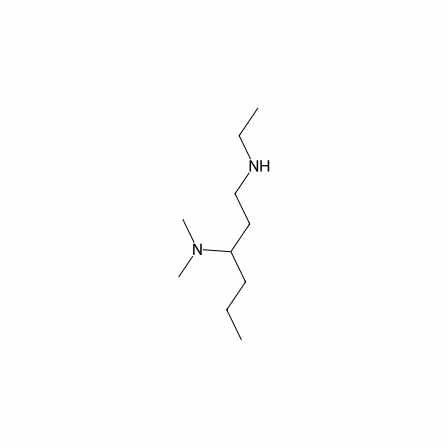 CCCC(CCNCC)N(C)C